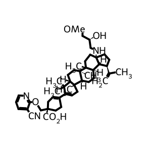 C=C(C)[C@@H]1CC[C@]2(NC[C@@H](O)COC)CC[C@]3(C)[C@H](CC[C@@H]4[C@@]5(C)CC=C(C6=CC[C@](COc7ncccc7C#N)(C(=O)O)CC6)C(C)(C)[C@@H]5CC[C@]43C)[C@@H]12